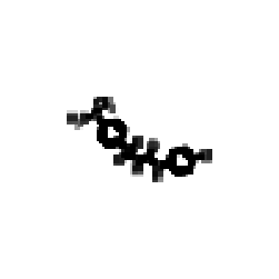 CN(C)c1ccc(S(=O)(=O)NC(=O)Nc2ccc(Cl)cc2)cc1